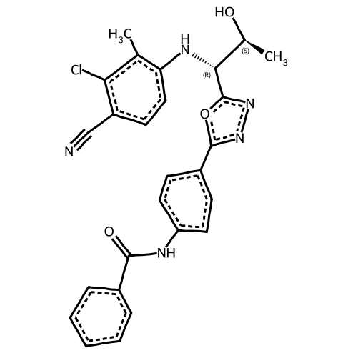 Cc1c(N[C@@H](c2nnc(-c3ccc(NC(=O)c4ccccc4)cc3)o2)[C@H](C)O)ccc(C#N)c1Cl